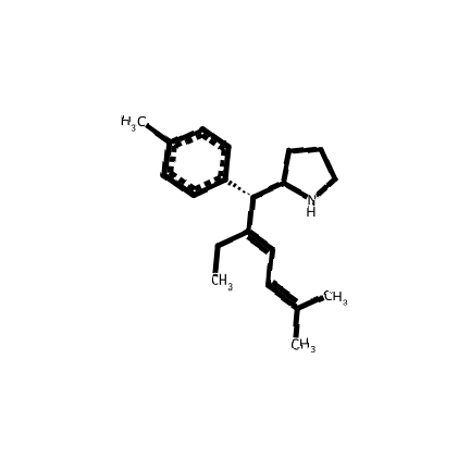 CC/C(=C\C=C(C)C)[C@H](c1ccc(C)cc1)C1CCCN1